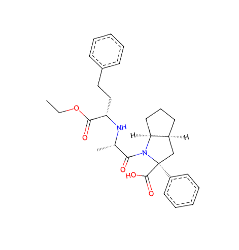 CCOC(=O)[C@H](CCc1ccccc1)N[C@@H](C)C(=O)N1[C@H]2CCC[C@H]2C[C@]1(C(=O)O)c1ccccc1